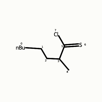 CCCCCCC(C)C(=S)Cl